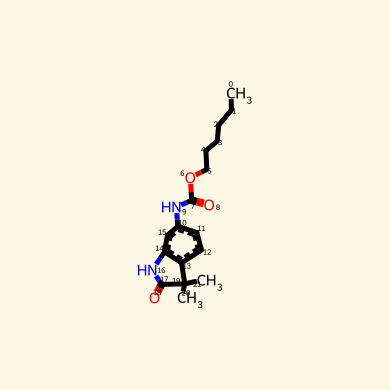 CCCCCCOC(=O)Nc1ccc2c(c1)NC(=O)C2(C)C